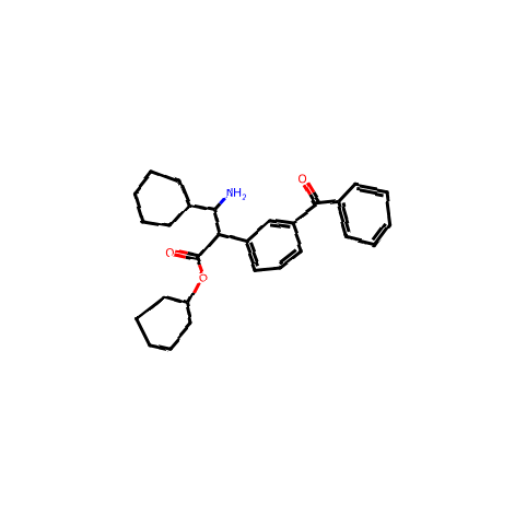 NC(C1CCCCC1)C(C(=O)OC1CCCCC1)c1cccc(C(=O)c2ccccc2)c1